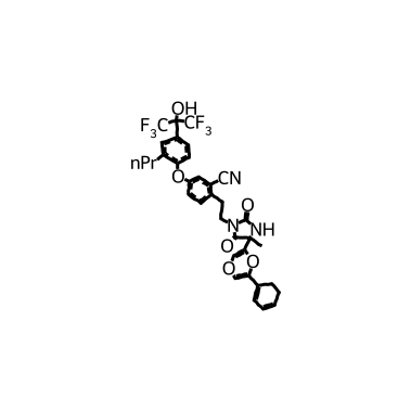 CCCc1cc(C(O)(C(F)(F)F)C(F)(F)F)ccc1Oc1ccc(CCN2C(=O)NC(C)(C3=COC=C(C4=CC=CCC4)O3)C2=O)c(C#N)c1